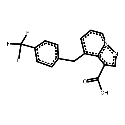 O=C(O)c1cnn2cccc(Cc3ccc(C(F)(F)F)cc3)c12